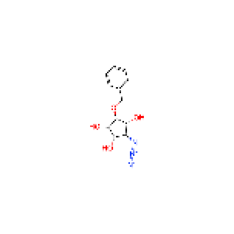 [N-]=[N+]=N[C@@H]1[C@@H](O)[C@H](OCc2ccccc2)C(O)[C@H]1O